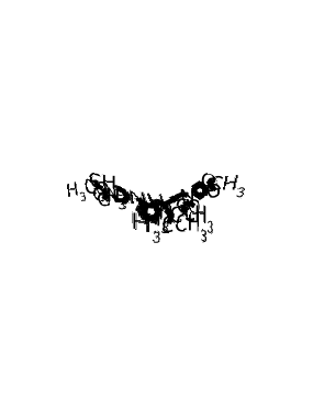 CCn1c(C#CCN(C(=O)OC(C)(C)C)c2ccc(S(C)(=O)=O)cc2)cc2c(NC3CCN(C(=O)OC(C)(C)C)CC3)cccc21